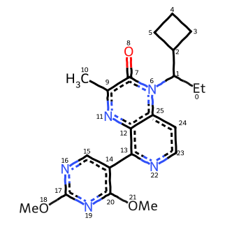 CCC(C1CCC1)n1c(=O)c(C)nc2c(-c3cnc(OC)nc3OC)nccc21